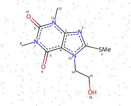 CSc1nc2c(c(=O)n(C)c(=O)n2C)n1CCO